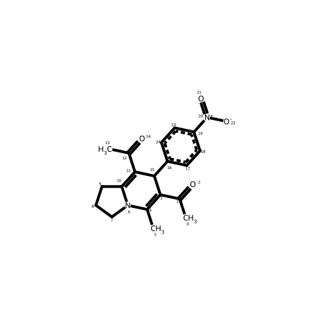 CC(=O)C1=C(C)N2CCCC2=C(C(C)=O)C1c1ccc([N+](=O)[O-])cc1